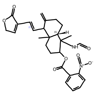 C=C1CC[C@H]2C(C)(CCC(OC(=O)c3ccccc3[N+](=O)[O-])C2(C)NC=O)C1/C=C/C1=CCOC1=O